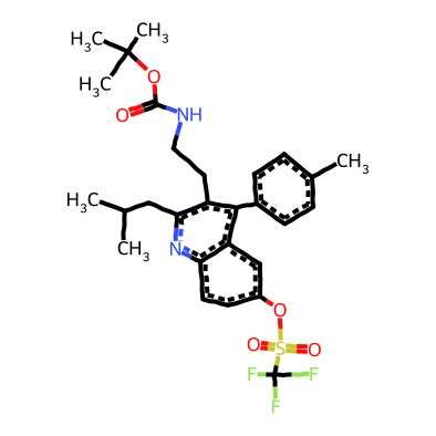 Cc1ccc(-c2c(CCNC(=O)OC(C)(C)C)c(CC(C)C)nc3ccc(OS(=O)(=O)C(F)(F)F)cc23)cc1